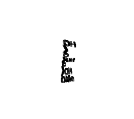 COCC(O)COCC(O)COCCCO